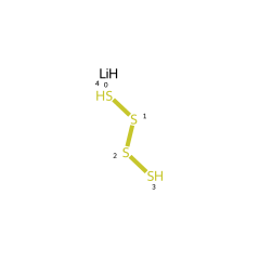 SSSS.[LiH]